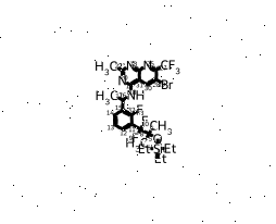 CC[Si](CC)(CC)OC(C)(C)C(F)(F)c1cccc(C(C)Nc2nc(C)nc3nc(C(F)(F)F)c(Br)cc23)c1F